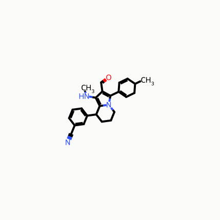 CNc1c(C=O)c(C2=CCC(C)C=C2)n2c1C(c1cccc(C#N)c1)CCC2